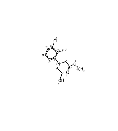 COC(=O)CN(CCO)c1cccc(Cl)c1F